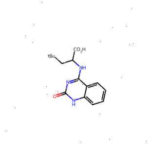 CC(C)(C)CC(Nc1nc(=O)[nH]c2ccccc12)C(=O)O